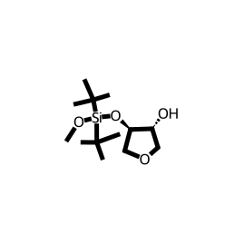 CO[Si](O[C@@H]1COC[C@H]1O)(C(C)(C)C)C(C)(C)C